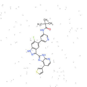 CC(C)(C)C(=O)Nc1cncc(-c2cc3c(-c4nc5c(-c6ccsc6)ccnc5[nH]4)n[nH]c3cc2F)c1